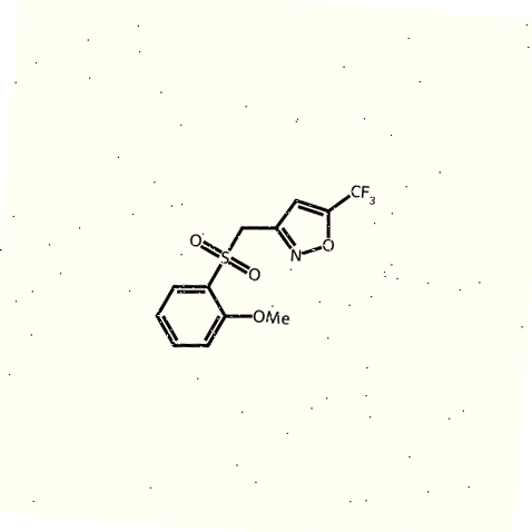 COc1ccccc1S(=O)(=O)Cc1cc(C(F)(F)F)on1